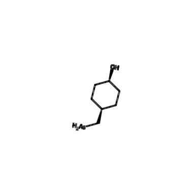 O[C@H]1CC[C@@H](C[AsH2])CC1